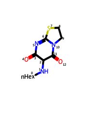 CCCCCCNC1C(=O)N=C2SCCN2C1=O